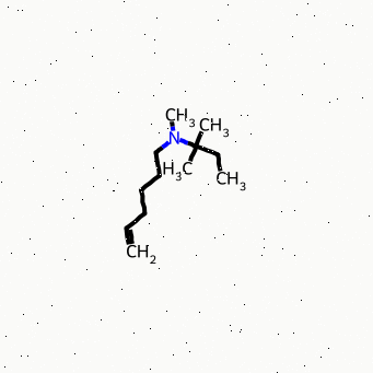 C=CCCCCN(C)C(C)(C)CC